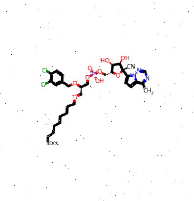 CCCCCCCCCCCCCCCCCCOC[C@H](COP(=O)(O)OC[C@H]1O[C@@](C#N)(c2ccc3c(C)ncnn23)[C@H](O)[C@@H]1O)OCc1ccc(Cl)c(Cl)c1